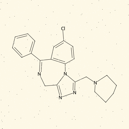 Clc1ccc2c(c1)C(c1ccccc1)=NCc1nnc(CN3CCCCC3)n1-2